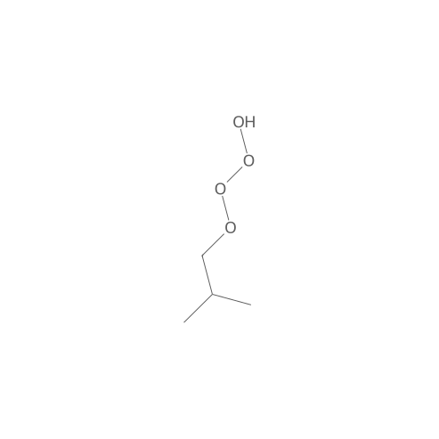 CC(C)COOOO